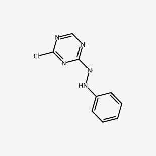 Clc1ncnc([N]Nc2ccccc2)n1